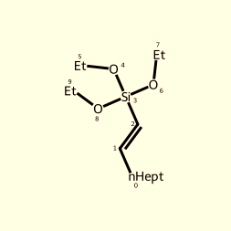 CCCCCCCC=C[Si](OCC)(OCC)OCC